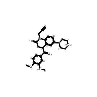 C#CCN1C(=O)CC(C(=O)c2ccc(OC)c(OC)c2)c2cc(N3CCNCC3)ccc21